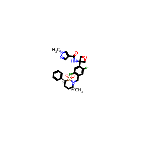 C[C@@H]1CC[C@@H](c2ccccc2)S(=O)(=O)N1Cc1cc(F)c(C2(NC(=O)c3cnn(C)c3)COC2)cc1F